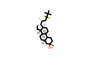 C[C@H](CC(F)(F)C(C)(C)C)[C@H]1CC[C@H]2[C@@H]3CC[C@H]4C[C@@](C)(O)CC[C@]4(C)[C@H]3CC[C@]12C